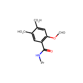 CC(C)NC(=O)c1cc(C(=O)O)c(C(=O)O)cc1OC=O